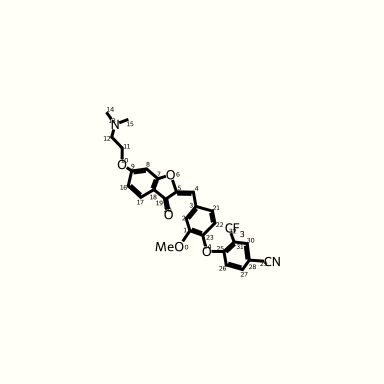 COc1cc(C=C2Oc3cc(OCCN(C)C)ccc3C2=O)ccc1Oc1ccc(C#N)cc1C(F)(F)F